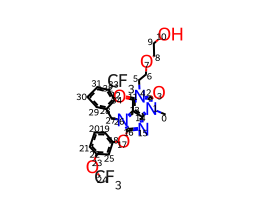 Cn1c(=O)n(CCOCCO)c(=O)c2c1nc(Oc1cccc(OC(F)(F)F)c1)n2Cc1cccc(C(F)(F)F)c1